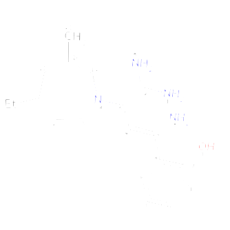 CCC1CCN(C(/C=C(\N)c2ccccc2O)=C(N)N)CC(C)C1